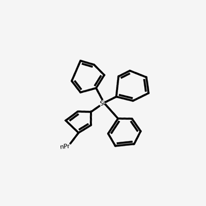 CCCC1=C[C]([Si](c2ccccc2)(c2ccccc2)c2ccccc2)C=C1